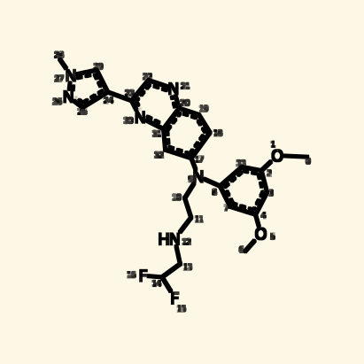 COc1cc(OC)cc(N(CCNCC(F)F)c2ccc3ncc(-c4cnn(C)c4)nc3c2)c1